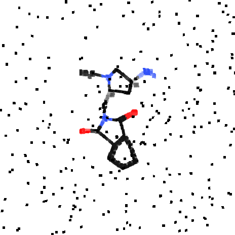 N[C@@H]1C[C@H](CN2C(=O)c3ccccc3C2=O)N(C(=O)O)C1